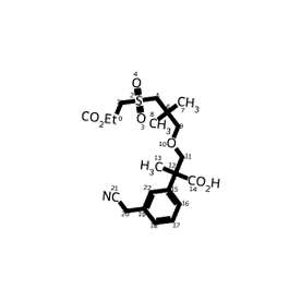 CCOC(=O)CS(=O)(=O)CC(C)(C)COCC(C)(C(=O)O)c1cccc(CC#N)c1